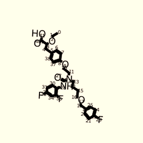 CCOC(Cc1ccc(OCCN(CCCCOCc2ccc(F)cc2)C(=O)Nc2ccc(F)cc2F)cc1)C(=O)O